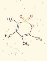 CC1=C(C)C(C)=C(C)S(=O)(=O)O1